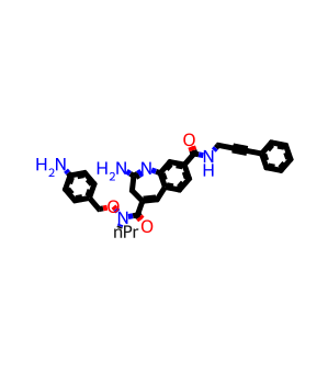 CCCN(OCc1ccc(N)cc1)C(=O)C1=Cc2ccc(C(=O)NCC#Cc3ccccc3)cc2N=C(N)C1